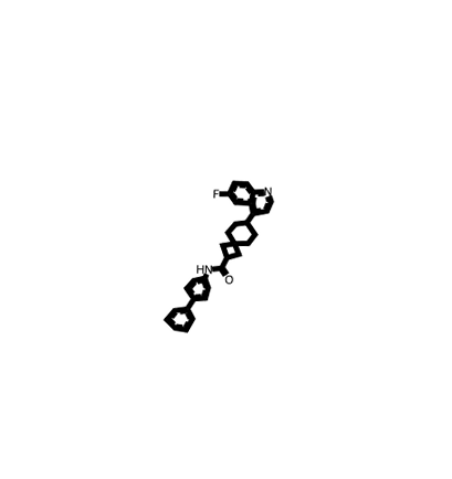 O=C(Nc1ccc(-c2ccccc2)cc1)C1CC2(CCC(c3ccnc4ccc(F)cc34)CC2)C1